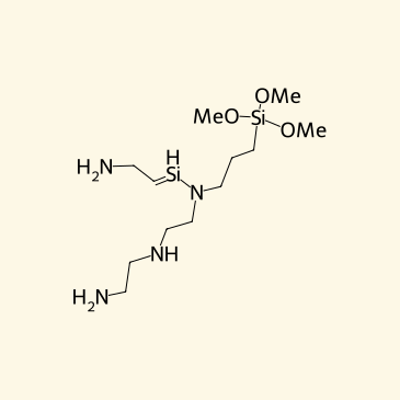 CO[Si](CCCN(CCNCCN)[SiH]=CCN)(OC)OC